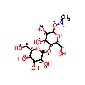 C=NOC1OC(CO)C(OC2OC(CO)C(O)C(O)C2O)C(O)C1O